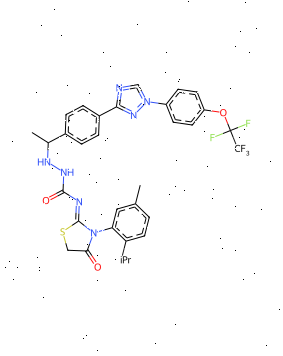 Cc1ccc(C(C)C)c(N2C(=O)CS/C2=N\C(=O)NNC(C)c2ccc(-c3ncn(-c4ccc(OC(F)(F)C(F)(F)F)cc4)n3)cc2)c1